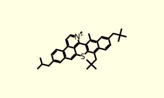 Cc1c2c(c(CC(C)(C)C)c3ccc(CC(C)(C)C)cc13)Sc1cc3cc(CC(C)C)ccc3c3cc[n+](C)c-2c13